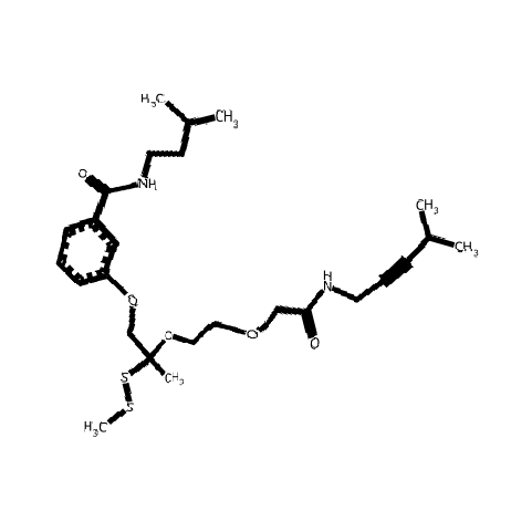 CSSC(C)(COc1cccc(C(=O)NCCC(C)C)c1)OCCOCC(=O)NCC#CC(C)C